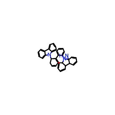 NC12C=CC=CC1C1C=CC=CC1N2c1ccccc1C1=CC=CCC1n1c2ccccc2c2ccccc21